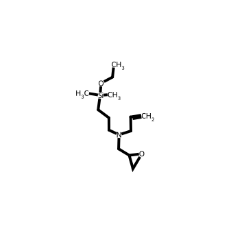 C=CCN(CCC[Si](C)(C)OCC)CC1CO1